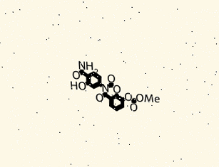 COC(=O)Oc1cccc2c(=O)n(-c3ccc(C(N)=O)c(O)c3)c(=O)oc12